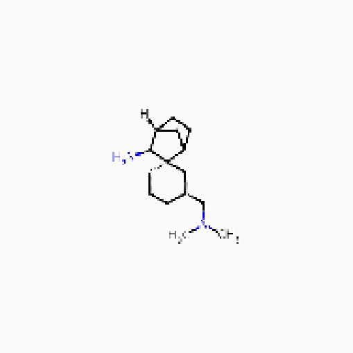 CN(C)C[C@H]1CCC[C@@]2(C1)C1CC[C@H](C1)[C@@H]2N